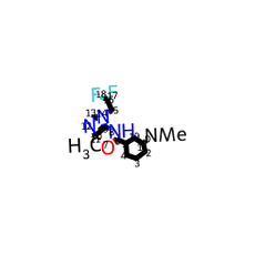 CNC1CCCC(C(=O)Nc2c(C)ncn2CC(F)F)C1